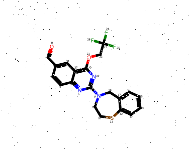 O=Cc1ccc2nc(N3CCSc4ccccc4C3)nc(OCC(F)(F)F)c2c1